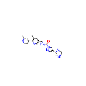 Cc1cc(-c2ncc(CNC(=O)n3cc(-c4cnccn4)cn3)cc2C)ccn1